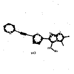 Cc1sc2nc(-c3ccc(C#Cc4ccccn4)s3)c(NC(C)(C)C)n2c1C.Cl